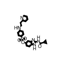 O=C(Nc1nc2cc(OS(=O)(=O)c3ccc(NCCc4ccccn4)cc3)ccc2[nH]1)C1CC1